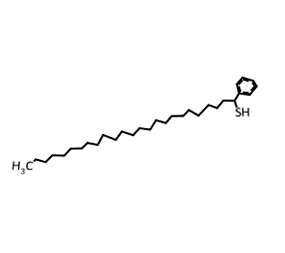 CCCCCCCCCCCCCCCCCCCCCCCCC(S)c1ccccc1